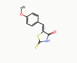 CCCOc1ccc(/C=C2\SC(=S)NC2=O)cc1